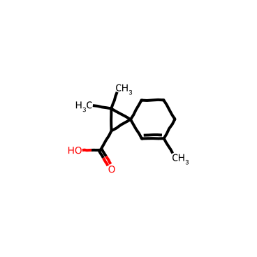 CC1=CC2(CCC1)C(C(=O)O)C2(C)C